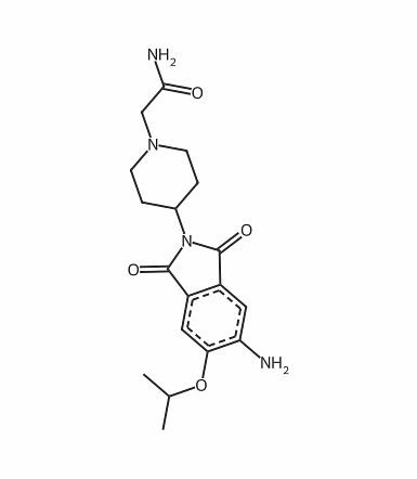 CC(C)Oc1cc2c(cc1N)C(=O)N(C1CCN(CC(N)=O)CC1)C2=O